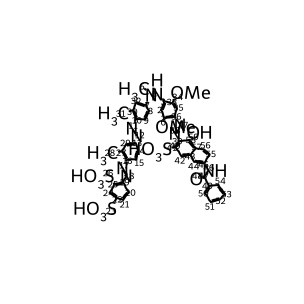 COc1cc(NN(C)c2ccc(N=Nc3ccc(N=Nc4ccc(S(=O)(=O)O)cc4S(=O)(=O)O)c(C)c3)c(C)c2)c(OC)cc1N=Nc1c(S(=O)(=O)O)cc2cc(NC(=O)c3ccccc3)ccc2c1O